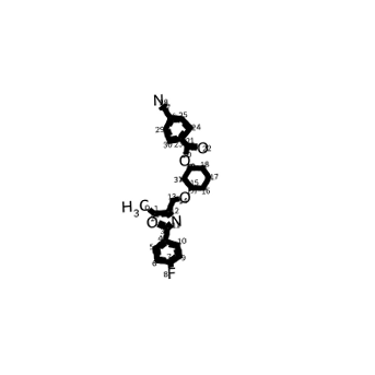 Cc1oc(-c2ccc(F)cc2)nc1CO[C@H]1CCC[C@@H](OC(=O)c2ccc(C#N)cc2)C1